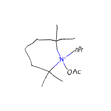 CCC[N+]1(OC(C)=O)C(C)(C)CCCC1(C)C